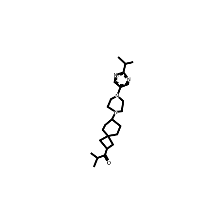 CC(C)C(=O)C1CC2(CCC(N3CCN(c4cnc(C(C)C)nc4)CC3)CC2)C1